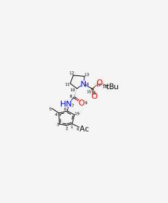 CC(=O)c1ccc(C)c(NC(=O)[C@@H]2CCCN2C(=O)OC(C)(C)C)c1